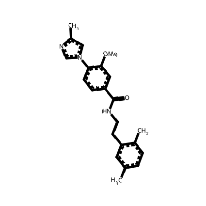 COc1cc(C(=O)NCCc2cc(C)ccc2C)ccc1-n1cnc(C)c1